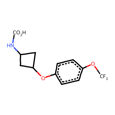 O=C(O)NC1CC(Oc2ccc(OC(F)(F)F)cc2)C1